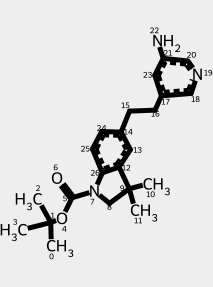 CC(C)(C)OC(=O)N1CC(C)(C)c2cc(CCc3cncc(N)c3)ccc21